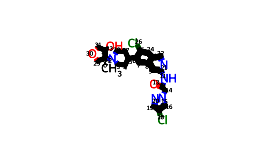 C[C@]1(N2CCC(c3cc4cc(NC(=O)Cn5cc(Cl)cn5)ncc4cc3Cl)CC2)COC[C@H]1O